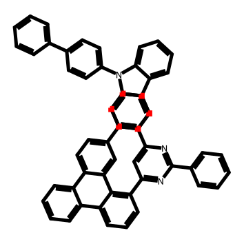 c1ccc(-c2ccc(-n3c4ccccc4c4ccc(-c5ccc6c7ccccc7c7cccc(-c8cc(-c9ccccc9)nc(-c9ccccc9)n8)c7c6c5)cc43)cc2)cc1